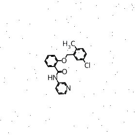 Cc1ccc(Cl)cc1COc1ccccc1C(=O)Nc1cccnc1